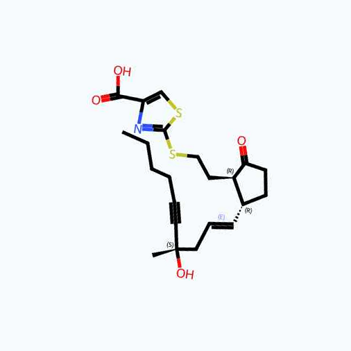 CCCCC#C[C@@](C)(O)C/C=C/[C@H]1CCC(=O)[C@@H]1CCSc1nc(C(=O)O)cs1